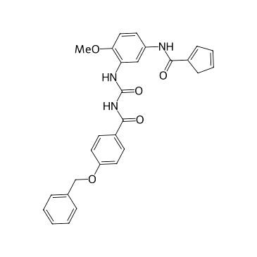 COc1ccc(NC(=O)C2=CC=CC2)cc1NC(=O)NC(=O)c1ccc(OCc2ccccc2)cc1